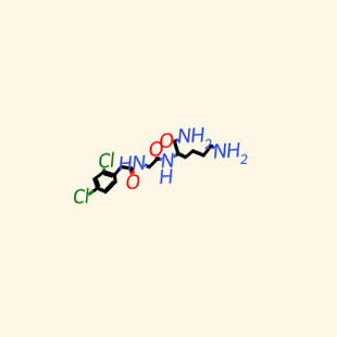 NCCCCC(NC(=O)CNC(=O)Cc1ccc(Cl)cc1Cl)C(N)=O